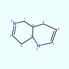 C1=C[N]C2CC=NCC2C1